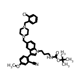 COc1ccc(-c2cn(CCCNC(=O)OC(C)(C)C)c3ccc(CN4CCN(Cc5ccccc5Cl)CC4)cc23)c(C#N)c1